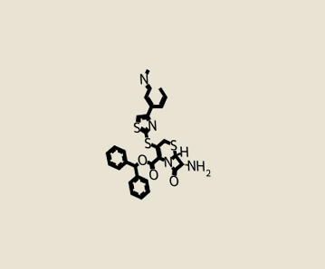 C\C=C/C(=C\C=N\C)c1csc(SC2=C(C(=O)OC(c3ccccc3)c3ccccc3)N3C(=O)[C@@H](N)[C@H]3SC2)n1